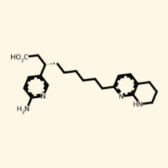 Nc1ccc([C@@H](CCCCCCc2ccc3c(n2)NCCC3)CC(=O)O)cn1